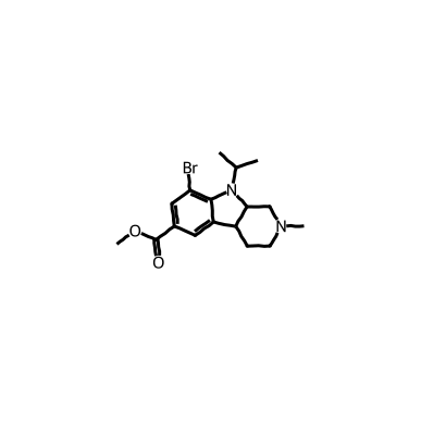 COC(=O)c1cc(Br)c2c(c1)C1CCN(C)CC1N2C(C)C